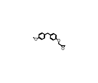 COc1ccc(Cc2ccc(OCC3CO3)cc2)cc1